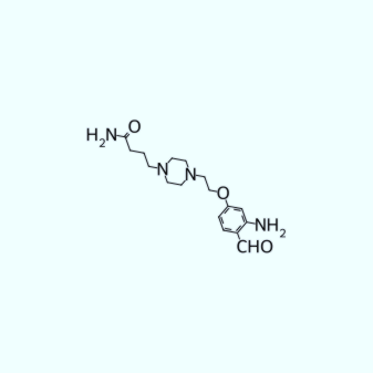 NC(=O)CCCN1CCN(CCOc2ccc(C=O)c(N)c2)CC1